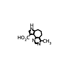 Cc1ncnc2c1CCCc1[nH]cc(C(=O)O)c1-2